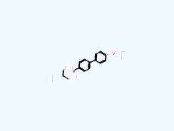 FC(F)(F)Oc1ccc(-c2ccc(C3OCC(S)CO3)cc2)cc1